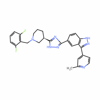 Cc1cc(-c2n[nH]c3ccc(-c4n[nH]c([C@@H]5CCCN(Cc6c(F)cccc6F)C5)n4)cc23)ccn1